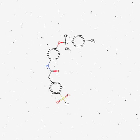 CCS(=O)(=O)c1ccc(CC(=O)Nc2ccc(OC(C)(C)c3ccc(C(F)(F)F)cc3)cc2)cc1